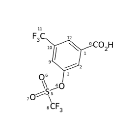 O=C(O)c1cc(OS(=O)(=O)C(F)(F)F)cc(C(F)(F)F)c1